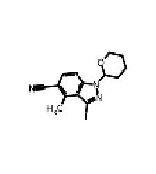 Cc1c(C#N)ccc2c1c(I)nn2C1CCCCO1